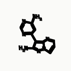 Nc1cc(-c2c(N)nn3cccnc23)ncn1